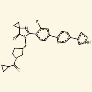 O=C(C1CC1)N1CC[C@@H](CN2C(=O)C3(CC3)N=C2c2ccc(-c3ccc(-c4cn[nH]c4)cc3)cc2F)C1